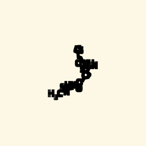 Cc1nc(CNC(=O)OCC2CCc3c(sc(NC(=O)C=Cc4cccs4)c3C#N)C2)cs1